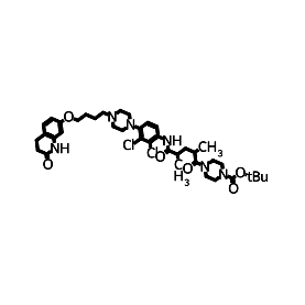 CC(CC(C)C(=O)N1CCN(C(=O)OC(C)(C)C)CC1)C(=O)Nc1ccc(N2CCN(CCCCOc3ccc4c(c3)NC(=O)CC4)CC2)c(Cl)c1Cl